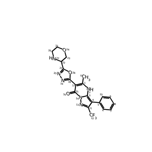 Cc1[nH]c2c(-c3ccccc3)c(C(F)(F)F)nn2c(=O)c1-c1nnc(C2COCCN2)o1